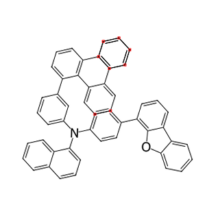 c1ccc(-c2ccccc2-c2c(-c3ccccc3)cccc2-c2cccc(N(c3ccc(-c4cccc5c4oc4ccccc45)cc3)c3cccc4ccccc34)c2)cc1